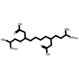 CCCCCC(CCCC)CCC(CCCCC(CCC(CCCC)CCCCC)CC(O)=S)CC(O)=S